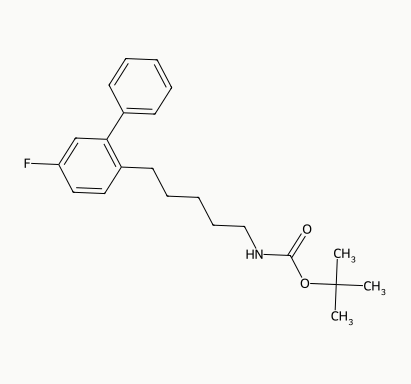 CC(C)(C)OC(=O)NCCCCCc1ccc(F)cc1-c1ccccc1